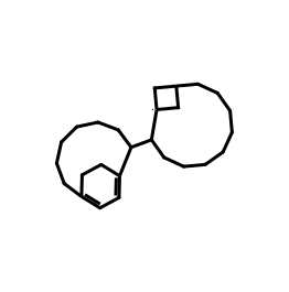 C1=C2CCCCCCC(C3CCCCCCCCC4C[C]3C4)C(=C1)CC2